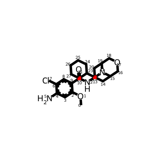 COc1cc(N)c(Cl)cc1C(=O)NC1CC2COCC(C1)N2CC1CCCCC1